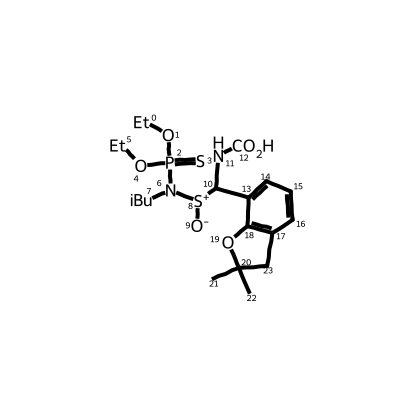 CCOP(=S)(OCC)N(C(C)CC)[S+]([O-])C(NC(=O)O)c1cccc2c1OC(C)(C)C2